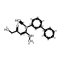 C#CN(/C(=C\C(=O)CO)NC)c1cccc(-c2ccccc2)c1